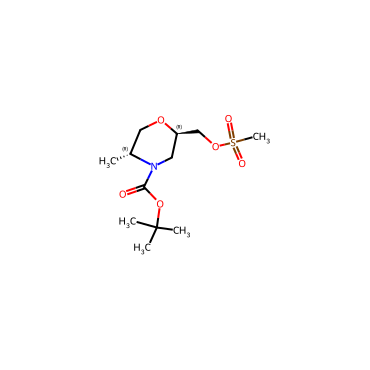 C[C@@H]1CO[C@@H](COS(C)(=O)=O)CN1C(=O)OC(C)(C)C